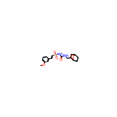 COc1cccc(C=CS(=O)(=O)NC(=O)NCC2CC3CCC2O3)c1